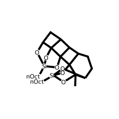 CCCCCCCC[Si]12OC3CCC4C5C6CC7O[Si]8(CCCCCCCC)OC76C5(O8)C4(O1)C3(C)O2